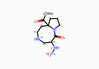 COC(=O)C12CCCN1C(=O)C(NP)CNCC2